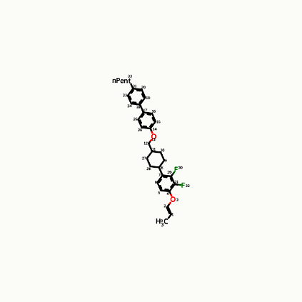 C/C=C/Oc1ccc(C2CCC(COc3ccc(-c4ccc(CCCCC)cc4)cc3)CC2)c(F)c1F